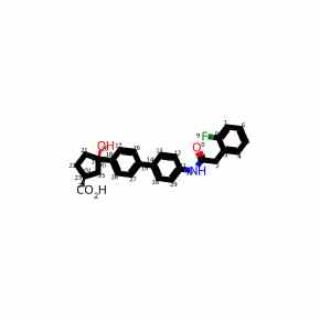 O=C(Cc1ccccc1F)Nc1ccc(-c2ccc([C@@]3(O)CC[C@H](C(=O)O)C3)cc2)cc1